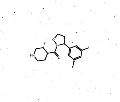 O=C(C1CCNC[C@@H]1F)N1OCCC1c1cc(F)cc(F)c1